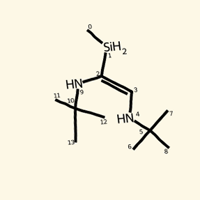 C[SiH2]C(=CNC(C)(C)C)NC(C)(C)C